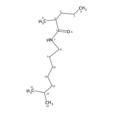 CCCC(C)C(=O)NCCCCCC(C)C